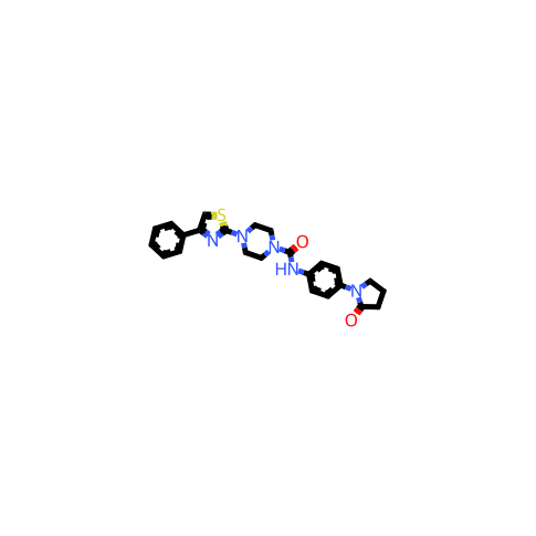 O=C(Nc1ccc(N2CCCC2=O)cc1)N1CCN(c2nc(-c3ccccc3)cs2)CC1